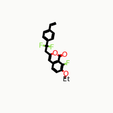 C=Cc1ccc(C(F)(F)Cc2cc3ccc(OCC)c(F)c3c(=O)o2)cc1